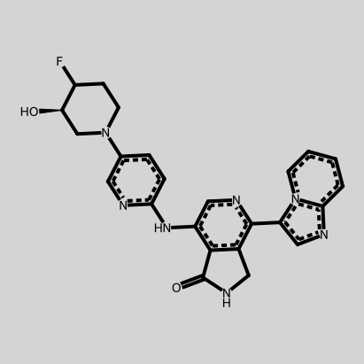 O=C1NCc2c(-c3cnc4ccccn34)ncc(Nc3ccc(N4CCC(F)[C@H](O)C4)cn3)c21